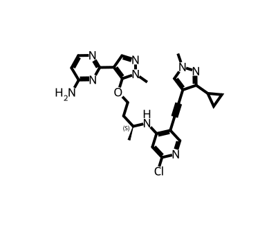 C[C@@H](CCOc1c(-c2nccc(N)n2)cnn1C)Nc1cc(Cl)ncc1C#Cc1cn(C)nc1C1CC1